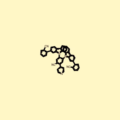 N#Cc1ccccc1-c1ccc2c3ccccc3n(-c3cc(C#N)c(-c4ccncc4)cc3-n3c4ccccc4c4ccc(-c5ccccc5C#N)cc43)c2c1